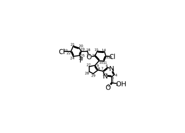 O=C(O)c1cncc(C2=C(c3cc(Cl)ccc3OCc3ccc(Cl)cc3F)CCC2)n1